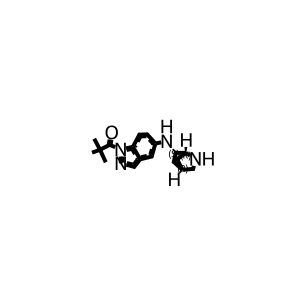 CC(C)(C)C(=O)n1ncc2cc(N[C@H]3C[C@@H]4CN[C@@H]3C4)ccc21